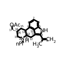 C=C(C)c1[nH]c2cccc3c2c1C[C@@H]1C3C[C@@H](COC(C)=O)CN1CCC